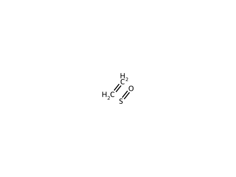 C=C.O=S